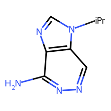 CC(C)n1cnc2c(N)nncc21